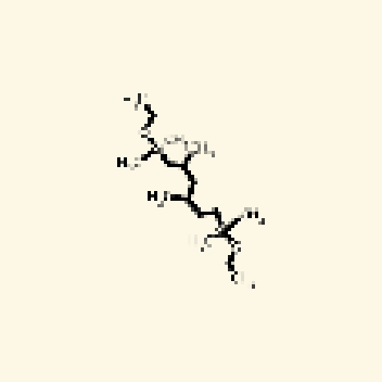 CCO[Si](C)(C)CCC(C)CC(C)C[Si](C)(C)OCC